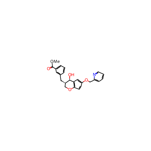 COC(=O)c1cccc(C[C@@H]2COc3ccc(OCc4ccccn4)cc3[C@@H]2O)c1